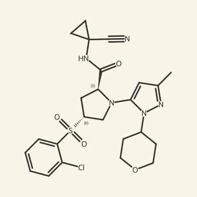 Cc1cc(N2C[C@H](S(=O)(=O)c3ccccc3Cl)C[C@H]2C(=O)NC2(C#N)CC2)n(C2CCOCC2)n1